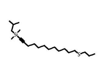 CCCSCCCCCCCCCCC#C[Si](C)(C)CC(C)C